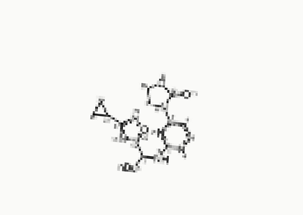 CCCCC(Nc1nccc(N2CCOC2=O)n1)c1nc(C2CC2)no1